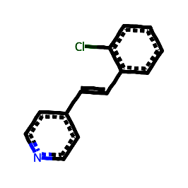 Clc1ccccc1/C=C/c1ccncc1